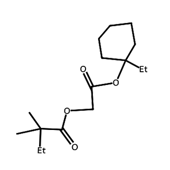 CCC1(OC(=O)COC(=O)C(C)(C)CC)CCCCC1